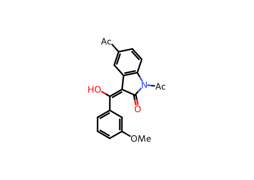 COc1cccc(C(O)=C2C(=O)N(C(C)=O)c3ccc(C(C)=O)cc32)c1